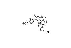 Cc1nc2cc(F)c(-c3cnc(C(C)(C)O)nc3)cc2c(NC(C)c2cc(C#N)ccc2F)c1Cl